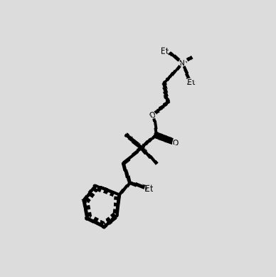 CCC(CC(C)(C)C(=O)OCC[N+](C)(CC)CC)c1ccccc1